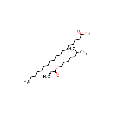 C=CC(=O)OCCCCCC(C)C.CCCCCCCCCCCCCCCCCC(=O)O